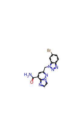 NC(=O)c1cc(Cn2nnc3ccc(Br)cc32)nn2c[c]nc12